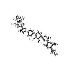 Cc1c(-c2ccc(-c3c[nH]c(C(NC(C(=O)NC(=O)O)C(C)C)C(C)C)n3)cc2)ccc(-c2c[nH]c([C@@H](N[C@@H](C(=O)NC(=O)O)C(C)C)C(C)C)n2)c1C